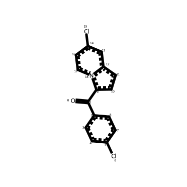 O=C(c1ccc(Cl)cc1)c1ccc2cc(Cl)ccn12